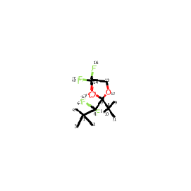 CC(C)(C)C(F)(F)C1(C(C)(C)C)OCC(F)(F)O1